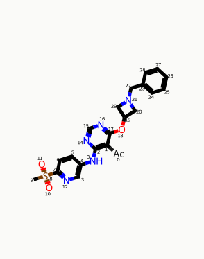 CC(=O)c1c(Nc2ccc(S(C)(=O)=O)nc2)ncnc1OC1CN(Cc2ccccc2)C1